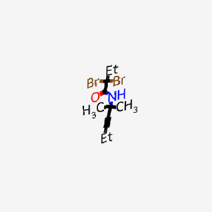 CCC#CC(C)(C)NC(=O)C(Br)(Br)CC